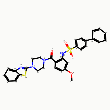 COc1ccc(C(=O)N2CCN(c3nc4ccccc4s3)CC2)c(NS(=O)(=O)c2ccc(-c3ccccc3)cc2)c1